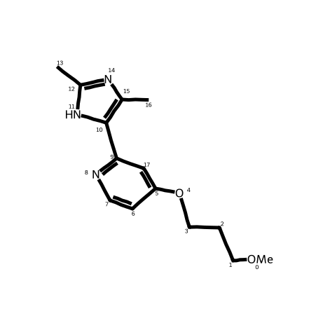 COCCCOc1ccnc(-c2[nH]c(C)nc2C)c1